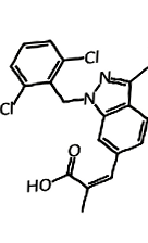 CCc1nn(Cc2c(Cl)cccc2Cl)c2cc(C=C(C)C(=O)O)ccc12